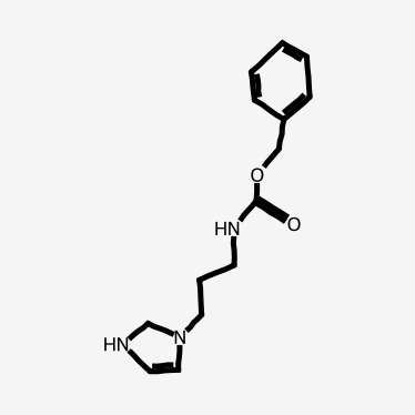 O=C(NCCCN1C=CNC1)OCc1ccccc1